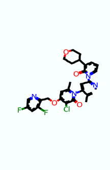 C=C(C)/C(=C\C(=N/C)n1cccc(C2CCOCC2)c1=O)n1c(C)cc(OCc2ncc(F)cc2F)c(Cl)c1=O